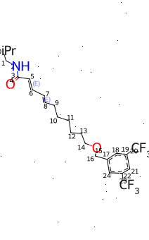 CC(C)CNC(=O)/C=C/C=C/CCCCCCOCc1cc(C(F)(F)F)cc(C(F)(F)F)c1